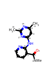 CNC(=O)c1cccnc1Nc1cc(C)nc(C)n1